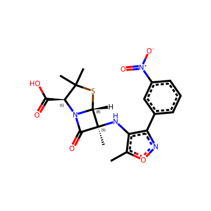 Cc1onc(-c2cccc([N+](=O)[O-])c2)c1N[C@@]1(C)C(=O)N2[C@@H](C(=O)O)C(C)(C)S[C@@H]21